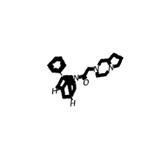 O=C(CN1CCN2CCCC2C1)N[C@@]12C[C@H]3C[C@@H](C1)C[C@@](c1ccccc1)(C3)C2